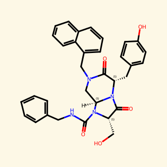 O=C1[C@H](Cc2ccc(O)cc2)N2C(=O)[C@H](CO)N(C(=O)NCc3ccccc3)[C@H]2CN1Cc1cccc2ccccc12